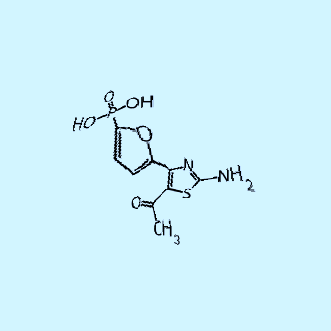 CC(=O)c1sc(N)nc1-c1ccc(P(=O)(O)O)o1